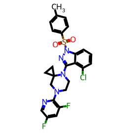 Cc1ccc(S(=O)(=O)n2nc(N3CCN(c4ncc(F)cc4F)CC34CC4)c3c(Cl)cccc32)cc1